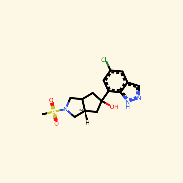 CS(=O)(=O)N1CC2CC(O)(c3cc(Cl)cc4cn[nH]c34)C[C@@H]2C1